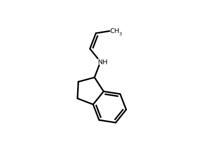 C/C=C\NC1CCc2ccccc21